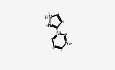 [c]1cc[nH]n1.[c]1ccncn1